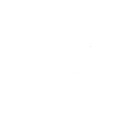 C1CCC1.C1CCCCC1